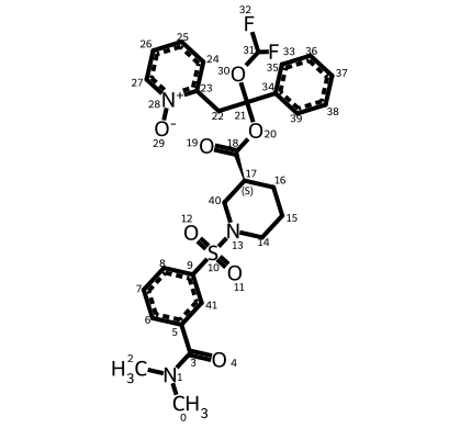 CN(C)C(=O)c1cccc(S(=O)(=O)N2CCC[C@H](C(=O)OC(Cc3cccc[n+]3[O-])(OC(F)F)c3ccccc3)C2)c1